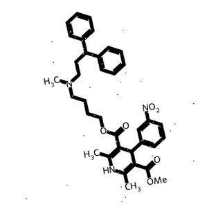 COC(=O)C1=C(C)NC(C)=C(C(=O)OCCCCN(C)CCC(c2ccccc2)c2ccccc2)C1c1cccc([N+](=O)[O-])c1